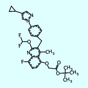 Cc1c(Cc2ccc(-n3cc(C4CC4)cn3)cc2)c(OC(F)F)nc2c(F)ccc(OCC(=O)OC(C)(C)C)c12